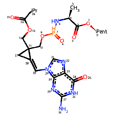 CCC[C@H](C)OC(=O)[C@H](C)N[PH](=O)OCC1(COC(=O)C(C)C)C/C1=C/n1cnc2c(=O)[nH]c(N)nc21